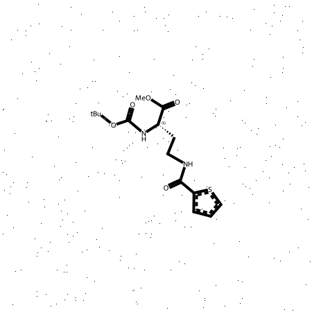 COC(=O)[C@H](CCNC(=O)c1cccs1)NC(=O)OC(C)(C)C